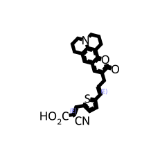 N#C/C(=C\c1ccc(/C=C/Cc2cc3cc4c5c(c3oc2=O)CCCN5CCC4)s1)C(=O)O